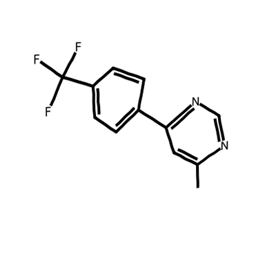 Cc1cc(-c2ccc(C(F)(F)F)cc2)ncn1